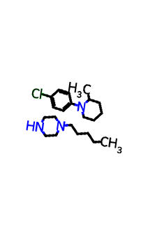 CC1CCCCN1c1ccc(Cl)cc1.CCCCCN1CCNCC1